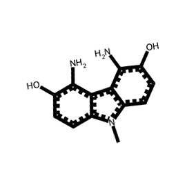 Cn1c2ccc(O)c(N)c2c2c(N)c(O)ccc21